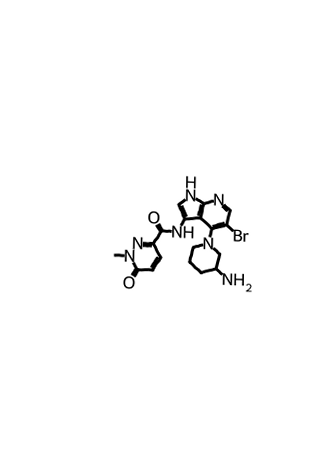 Cn1nc(C(=O)Nc2c[nH]c3ncc(Br)c(N4CCCC(N)C4)c23)ccc1=O